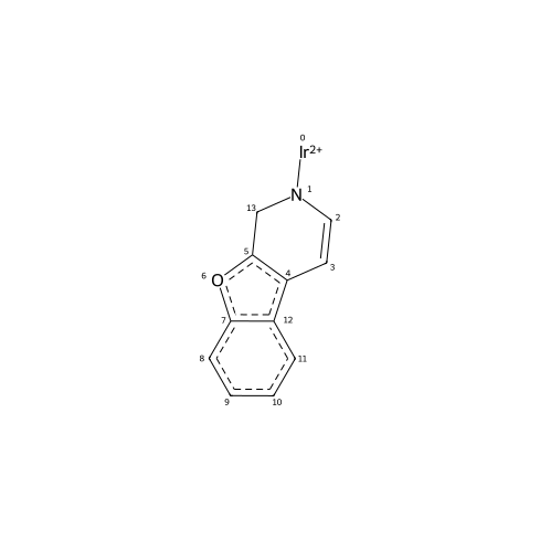 [Ir+2][N]1C=Cc2c(oc3ccccc23)C1